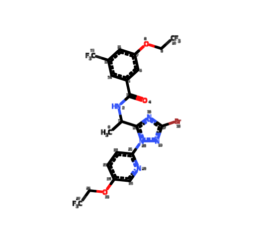 CC(NC(=O)c1cc(OCC(F)(F)F)cc(C(F)(F)F)c1)c1nc(Br)nn1-c1ccc(OCC(F)(F)F)cn1